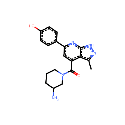 Cc1n[nH]c2nc(-c3ccc(O)cc3)cc(C(=O)N3CCCC(N)C3)c12